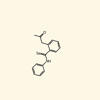 CC(=O)Cc1ccccc1C(=[Se])Nc1ccccc1